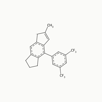 CC1=Cc2c(cc3c(c2-c2cc(C(F)(F)F)cc(C(F)(F)F)c2)CCC3)[CH]1